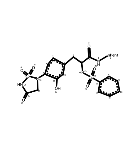 CCCCCNC(=O)C(Cc1ccc(N2CC(=O)NS2(=O)=O)c(O)c1)NS(=O)(=O)c1ccccc1